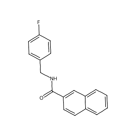 O=C(NCc1ccc(F)cc1)c1ccc2ccccc2c1